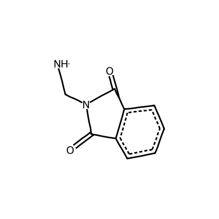 [NH]CN1C(=O)c2ccccc2C1=O